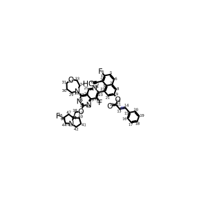 C#Cc1c(F)ccc2cc(OC(=O)/C=C/c3ccccc3)cc(-c3ncc4c(N5CCCOCC5)nc(OC[C@@]56CCCN5C[C@H](F)C6)nc4c3F)c12